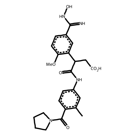 COc1ccc(C(=N)NO)cc1C(CC(=O)O)C(=O)Nc1ccc(C(=O)N2CCCC2)c(C)c1